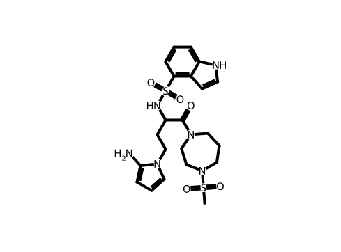 CS(=O)(=O)N1CCCN(C(=O)C(CCn2cccc2N)NS(=O)(=O)c2cccc3[nH]ccc23)CC1